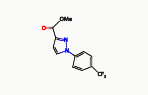 COC(=O)c1ccn(-c2ccc(C(F)(F)F)cc2)n1